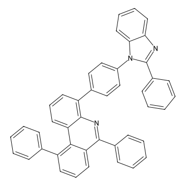 c1ccc(-c2nc3c(-c4ccc(-n5c(-c6ccccc6)nc6ccccc65)cc4)cccc3c3c(-c4ccccc4)cccc23)cc1